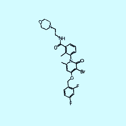 Cc1c(C(=O)NCCN2CCOCC2)cccc1-n1c(C)cc(OCc2ccc(F)cc2F)c(Br)c1=O